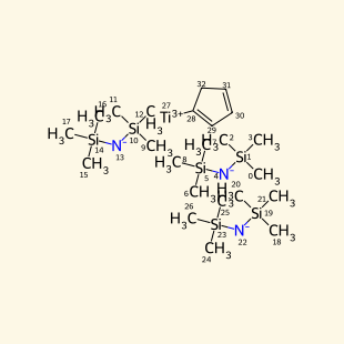 C[Si](C)(C)[N-][Si](C)(C)C.C[Si](C)(C)[N-][Si](C)(C)C.C[Si](C)(C)[N-][Si](C)(C)C.[Ti+3][C]1=CC=CC1